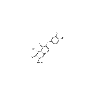 CC(=O)Nc1cn2ccn(Cc3ccc(F)c(Cl)c3)c(=O)c2c(O)c1=O